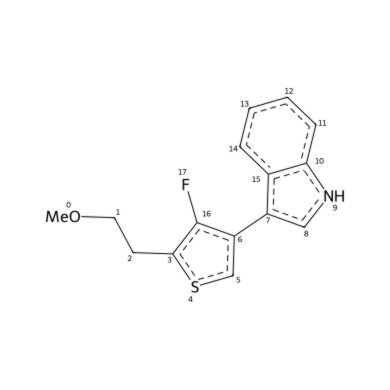 COCCc1scc(-c2c[nH]c3ccccc23)c1F